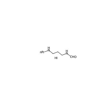 CCCNCCCNC=O.I